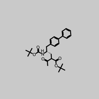 CC(=O)C(C[C@@H](Cc1ccc(-c2ccccc2)cc1)NC(=O)OC(C)(C)C)C(=O)OC(C)(C)C